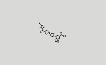 C#Cc1nc(C(=O)N2CCN(c3ccc(-c4cc(C(N)=O)cc5ncsc45)cc3)CC2)cs1